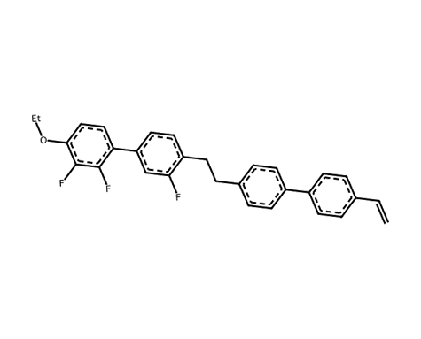 C=Cc1ccc(-c2ccc(CCc3ccc(-c4ccc(OCC)c(F)c4F)cc3F)cc2)cc1